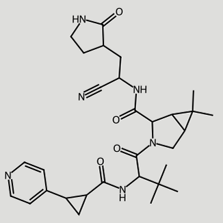 CC(C)(C)C(NC(=O)C1CC1c1ccncc1)C(=O)N1CC2C(C1C(=O)NC(C#N)CC1CCNC1=O)C2(C)C